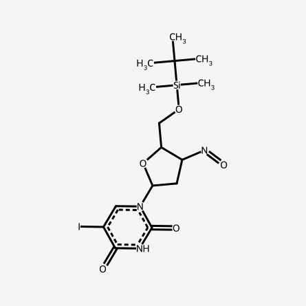 CC(C)(C)[Si](C)(C)OCC1OC(n2cc(I)c(=O)[nH]c2=O)CC1N=O